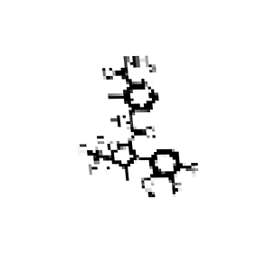 COc1c([C@H]2[C@@H](C)[C@@](C)(C(F)(F)F)O[C@H]2C(=O)Nc2ccnc(C(N)=O)c2C)ccc(F)c1F